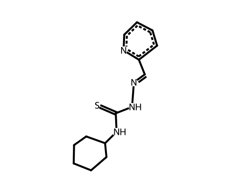 S=C(NN=Cc1ccccn1)NC1CCCCC1